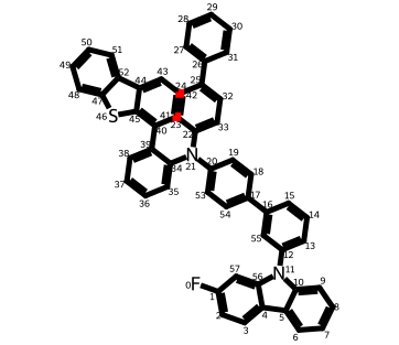 Fc1ccc2c3ccccc3n(-c3cccc(-c4ccc(N(c5ccc(-c6ccccc6)cc5)c5ccccc5-c5cccc6c5sc5ccccc56)cc4)c3)c2c1